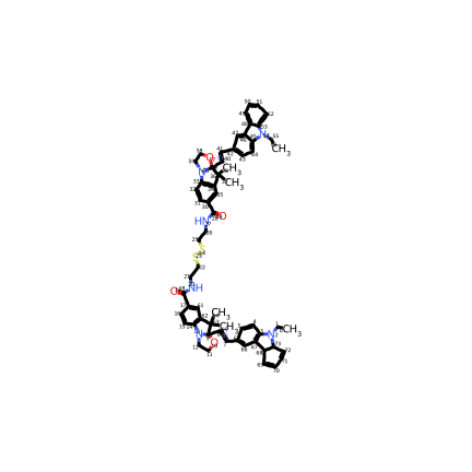 CCN1c2ccc(/C=C/C34OCCN3c3ccc(C(=O)NCCSSCCNC(=O)c5ccc6c(c5)C(C)(C)C5(/C=C/c7ccc8c(c7)c7ccccc7n8CC)OCCN65)cc3C4(C)C)cc2C2C=CC=CC21